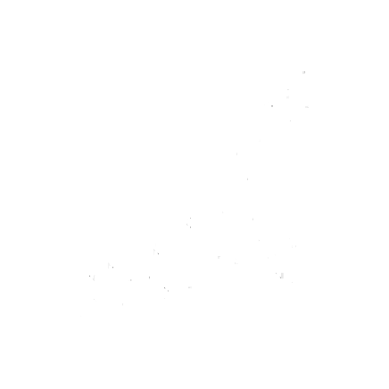 CCn1nc(C)cc1-c1ncc2c(n1)[nH]c1c(OCCCO[Si](C)(C)C(C)(C)C)cc(C(N)=O)cc12